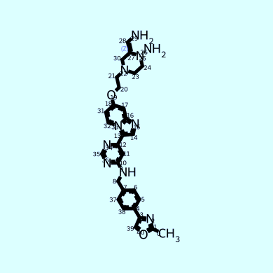 Cc1nc(-c2ccc(CNc3cc(-c4cnc5cc(OCCN6CCN(N)/C(=C\N)C6)ccn45)ncn3)cc2)co1